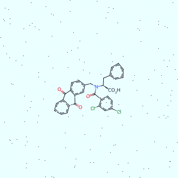 O=C1c2ccccc2C(=O)c2cc(CN(C(=O)c3ccc(Cl)cc3Cl)[C@@H](Cc3ccccc3)C(=O)O)ccc21